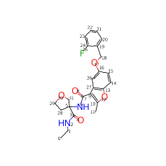 CCNC(=O)C1(NC(=O)c2c(C)oc3ccc(OCc4ccccc4F)cc23)CCOC1